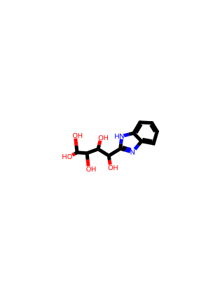 OC(O)C(O)C(O)C(O)c1nc2ccccc2[nH]1